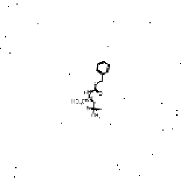 CC(F)(F)C[C@H](NC(=O)OCc1ccccc1)C(=O)O